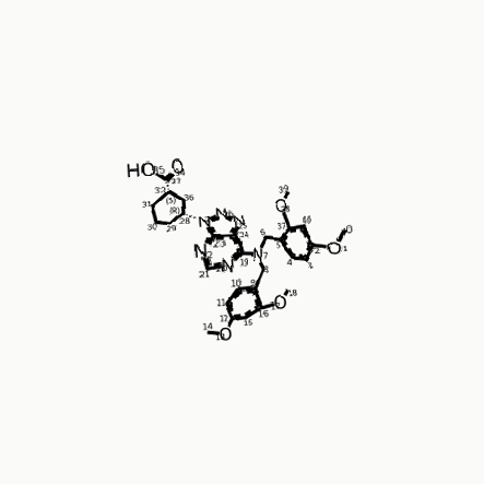 COc1ccc(CN(Cc2ccc(OC)cc2OC)c2ncnc3c2nnn3[C@@H]2CCC[C@H](C(=O)O)C2)c(OC)c1